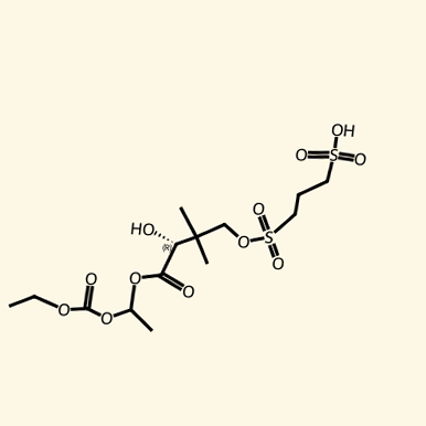 CCOC(=O)OC(C)OC(=O)[C@H](O)C(C)(C)COS(=O)(=O)CCCS(=O)(=O)O